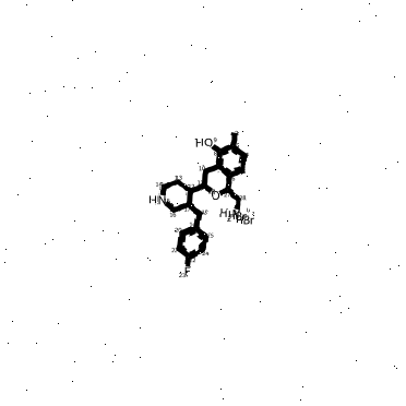 Br.Br.Cc1ccc2c(c1O)CC(C1CCNCC1Cc1ccc(F)cc1)OC2CN